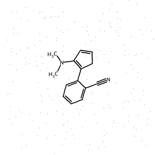 CN(C)C1=C(c2ccccc2C#N)CC=C1